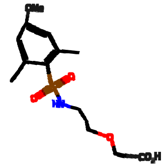 COc1cc(C)c(S(=O)(=O)NCCOCC(=O)O)c(C)c1